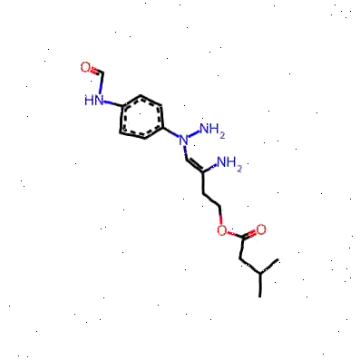 CC(C)CC(=O)OCC/C(N)=C/N(N)c1ccc(NC=O)cc1